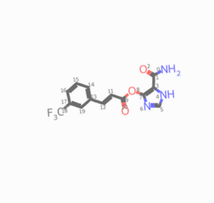 NC(=O)c1[nH]cnc1OC(=O)/C=C/c1cccc(C(F)(F)F)c1